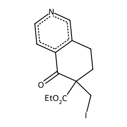 CCOC(=O)C1(CI)CCc2cnccc2C1=O